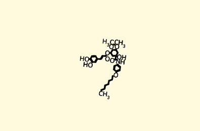 CCCCCCCCOc1ccc(NC(=O)C2(O)CC(OC(=O)/C=C/c3ccc(O)c(O)c3)C3OC(C)(C)OC3C2)cc1